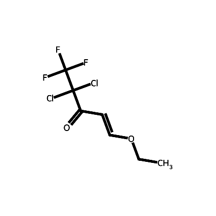 CCOC=CC(=O)C(Cl)(Cl)C(F)(F)F